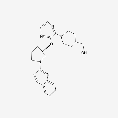 OCC1CCN(c2nccnc2O[C@@H]2CCCN(c3ccc4ccccc4n3)C2)CC1